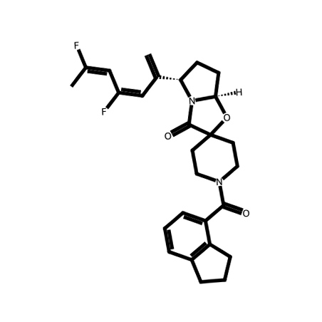 C=C(/C=C(F)\C=C(/C)F)[C@@H]1CC[C@H]2OC3(CCN(C(=O)c4cccc5c4CCC5)CC3)C(=O)N21